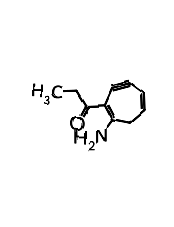 CCC(=O)C1=C(N)CC=CC#C1